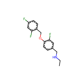 CCNCc1ccc(OCc2ccc(F)cc2F)c(F)c1